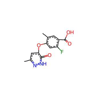 Cc1cc(Oc2cc(F)c(C(=O)O)cc2C)c(=O)[nH]n1